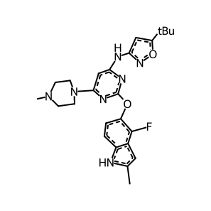 Cc1cc2c(F)c(Oc3nc(Nc4cc(C(C)(C)C)on4)cc(N4CCN(C)CC4)n3)ccc2[nH]1